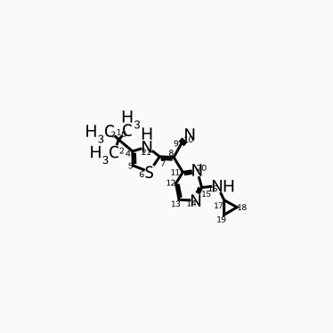 CC(C)(C)C1=CSC(=C(C#N)c2ccnc(NC3CC3)n2)N1